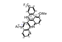 COc1ccc2nc(-c3ccccn3)c(/C=C/C(C)=O)c(Nc3cccc(C(F)(F)F)c3)c2c1